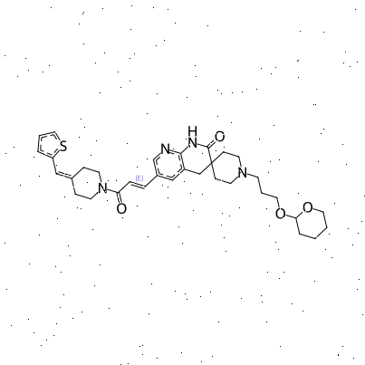 O=C(/C=C/c1cnc2c(c1)CC1(CCN(CCCOC3CCCCO3)CC1)C(=O)N2)N1CCC(=Cc2cccs2)CC1